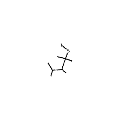 CC(C)C(C)C(C)(C)SI